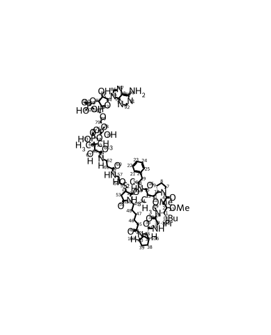 CC[C@H](C)[C@@H]([C@@H](CC(=O)N1CCC[C@H]1[C@H](OC)[C@@H](C)C(=O)N[C@@H](Cc1ccccc1)C(=O)O)OC)N(C)C(=O)[C@@H](NC(=O)[C@@H]1[C@H]2CC[C@@H](C2)N1C(=O)CCCCCN1C(=O)CC(SCCNC(=O)CCNC(=O)[C@H](O)C(C)(C)P(=O)(O)OP(=O)(O)OCOC[C@H]2O[C@@H](n3cnc4c(N)ncnc43)[C@H](O)[C@@H]2OP(=O)(O)O)C1=O)C(C)C